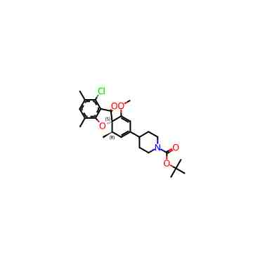 COC1=CC(C2CCN(C(=O)OC(C)(C)C)CC2)=C[C@@H](C)[C@]12Oc1c(C)cc(C)c(Cl)c1C2=O